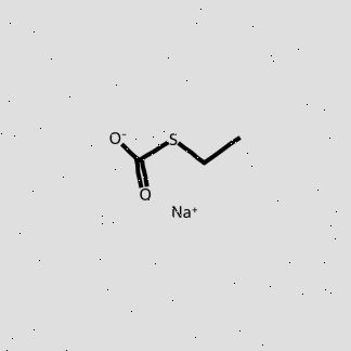 CCSC(=O)[O-].[Na+]